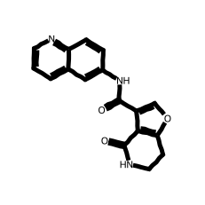 O=C(Nc1ccc2ncccc2c1)c1coc2c1C(=O)NCC2